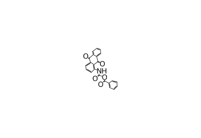 O=C(Nc1cccc2c1C(=O)c1ccccc1C2=O)OC(=O)c1ccccc1